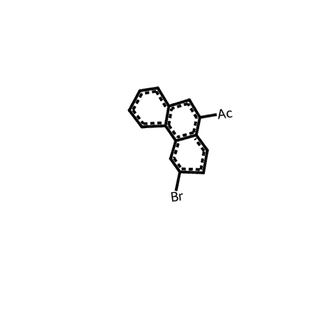 CC(=O)c1cc2ccccc2c2cc(Br)ccc12